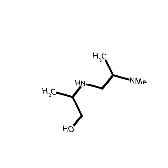 CNC(C)CNC(C)CO